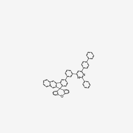 c1ccc(-c2ccc(-c3cc(-c4cccc(-c5ccc6c(c5)-c5cc7ccccc7cc5C65c6ccccc6Oc6ccccc65)c4)nc(-c4ccccc4)n3)cc2)cc1